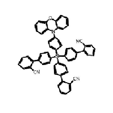 N#Cc1ccccc1-c1ccc([Si](c2ccc(-c3ccccc3C#N)cc2)(c2ccc(-c3ccccc3C#N)cc2)c2ccc(N3c4ccccc4Oc4ccccc43)cc2)cc1